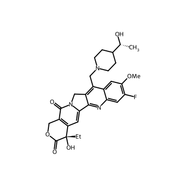 CC[C@@]1(O)C(=O)OCc2c1cc1n(c2=O)Cc2c-1nc1cc(F)c(OC)cc1c2CN1CCC([C@@H](C)O)CC1